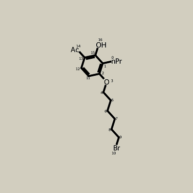 CCCc1c(OCCCCCCBr)ccc(C(C)=O)c1O